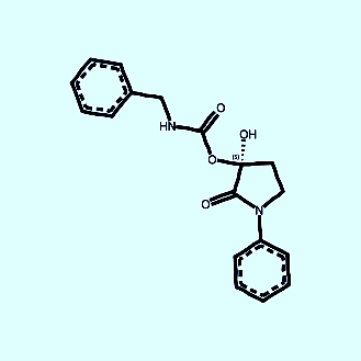 O=C(NCc1ccccc1)O[C@@]1(O)CCN(c2ccccc2)C1=O